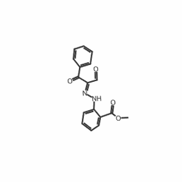 COC(=O)c1ccccc1N/N=C(\C=O)C(=O)c1ccccc1